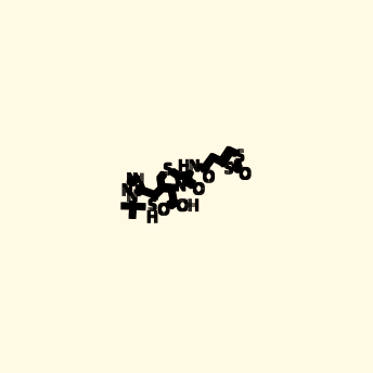 CC(C)(C)n1nnnc1C(S)C1=C(C(=O)O)N2C(=O)C(NC(=O)Cc3csc(=O)s3)C2SC1